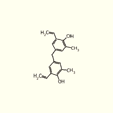 C=Cc1cc(Cc2cc(C)c(O)c(C=C)c2)cc(C)c1O